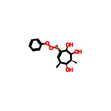 C[C@H]1[C@H](O)[C@H](O)C(SOOc2ccccc2)=C[C@H](C)[C@H]1O